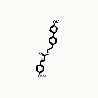 COc1ccc(/C=C/C(=O)OCCc2ccc(-c3ccc(OC)cc3)cc2)cc1